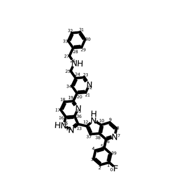 Fc1cccc(-c2nccc3[nH]c(-c4n[nH]c5ccc(-c6cncc(CNCc7ccccc7)c6)nc45)cc23)c1